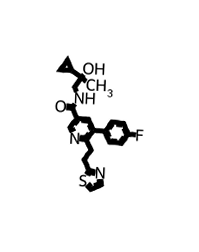 CC(O)(CNC(=O)c1cnc(CCc2nccs2)c(-c2ccc(F)cc2)c1)C1CC1